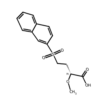 CO[C@H](CCS(=O)(=O)c1ccc2ccccc2c1)C(=O)O